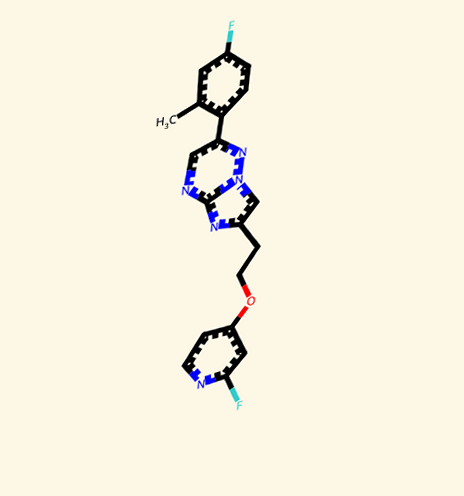 Cc1cc(F)ccc1-c1cnc2nc(CCOc3ccnc(F)c3)cn2n1